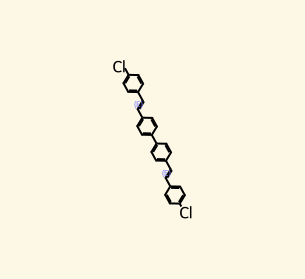 Clc1ccc(/C=C/c2ccc(-c3ccc(/C=C/c4ccc(Cl)cc4)cc3)cc2)cc1